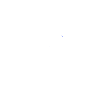 N#CCn1cc(-c2ccccc2)c2cccc(Cl)c21